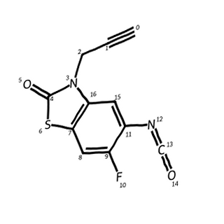 C#CCn1c(=O)sc2cc(F)c(N=C=O)cc21